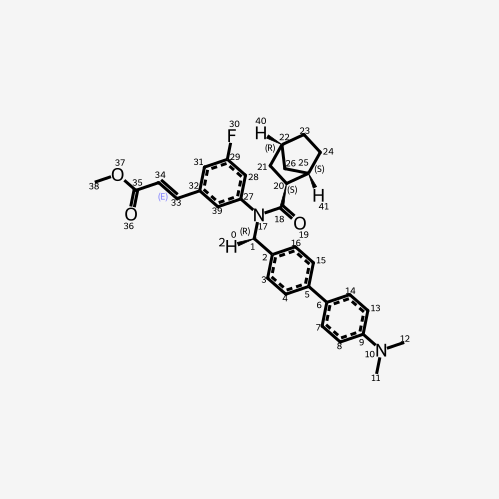 [2H][C@H](c1ccc(-c2ccc(N(C)C)cc2)cc1)N(C(=O)[C@H]1C[C@@H]2CC[C@H]1C2)c1cc(F)cc(/C=C/C(=O)OC)c1